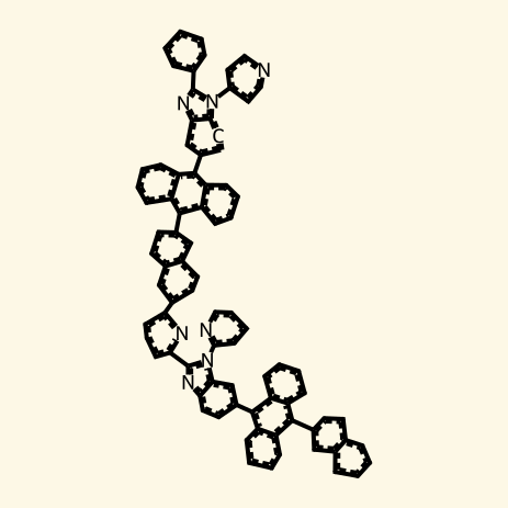 c1ccc(-c2nc3cc(-c4c5ccccc5c(-c5ccc6cc(-c7cccc(-c8nc9ccc(-c%10c%11ccccc%11c(-c%11ccc%12ccccc%12c%11)c%11ccccc%10%11)cc9n8-c8ccccn8)n7)ccc6c5)c5ccccc45)ccc3n2-c2ccncc2)cc1